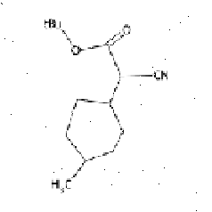 CC1CCC(C(C#N)C(=O)OC(C)(C)C)CC1